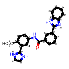 O=C(Nc1ccc(C(=O)O)c(-c2ncc[nH]2)c1)c1cccc(-c2nc3ccccc3[nH]2)c1